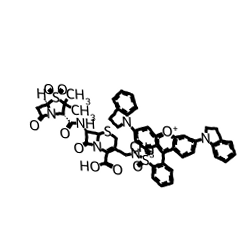 CN(CC1=C(C(=O)O)N2C(=O)[C@@H](NC(=O)[C@@H]3N4C(=O)C[C@H]4S(=O)(=O)C3(C)C)C2SC1)S(=O)(=O)c1ccccc1-c1c2ccc(N3CCc4ccccc43)cc2[o+]c2cc(N3CCc4ccccc43)ccc12